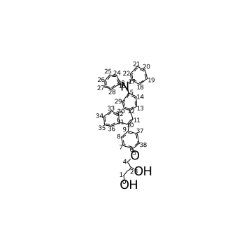 OCC(O)COc1ccc(C(=Cc2ccc(N(c3ccccc3)c3ccccc3)cc2)c2ccccc2)cc1